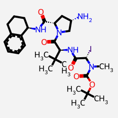 CN(C(=O)OC(C)(C)C)[C@@H](I)C(=O)N[C@H](C(=O)N1C[C@@H](N)C[C@H]1C(=O)N[C@@H]1CCCc2ccccc21)C(C)(C)C